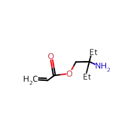 C=CC(=O)OCC(N)(CC)CC